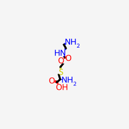 NCCNC(=O)OCCSC[C@H](N)C(=O)O